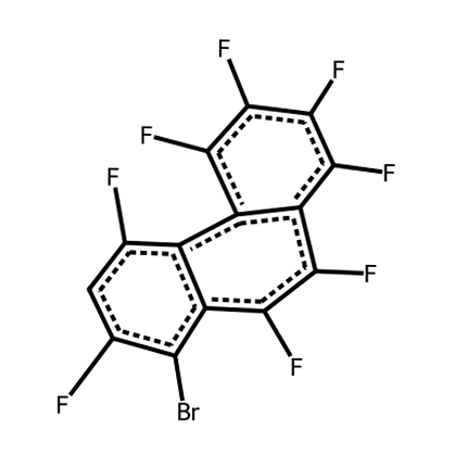 Fc1cc(F)c2c(c(F)c(F)c3c(F)c(F)c(F)c(F)c32)c1Br